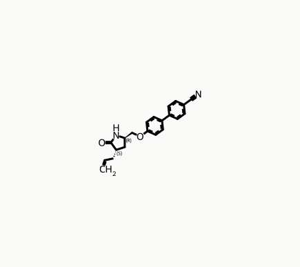 C=CC[C@H]1C[C@H](COc2ccc(-c3ccc(C#N)cc3)cc2)NC1=O